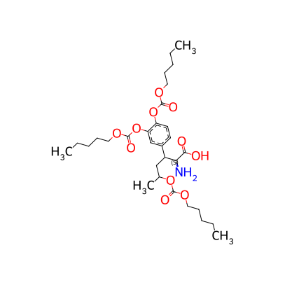 CCCCCOC(=O)Oc1ccc(C(CC(C)OC(=O)OCCCCC)[C@H](N)C(=O)O)cc1OC(=O)OCCCCC